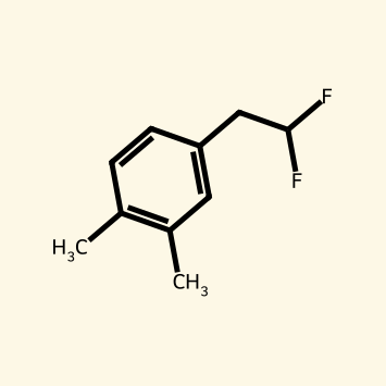 Cc1ccc(CC(F)F)cc1C